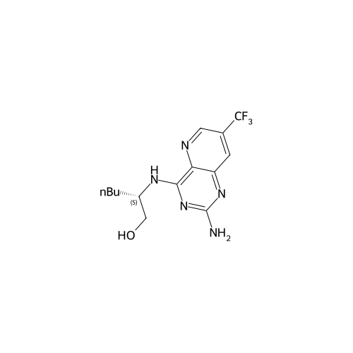 CCCC[C@@H](CO)Nc1nc(N)nc2cc(C(F)(F)F)cnc12